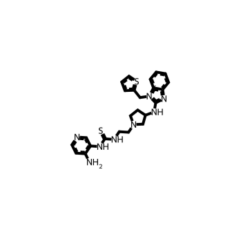 Nc1ccncc1NC(=S)NCCN1CCC(Nc2nc3ccccc3n2Cc2cccs2)C1